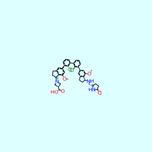 COc1cc(-c2cccc(-c3cccc(-c4cc5c(c(OC)c4)[C@@H](N4CC(C(=O)O)C4)CC5)c3Cl)c2Cl)cc2c1C(NC[C@@H]1CCC(=O)N1)CC2